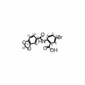 O=C(Nc1ccc(Br)cc1C(=O)O)c1ccc2c(c1)OCO2